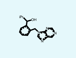 CC(C)C(O)c1ccccc1Cn1cnc2cncnc21